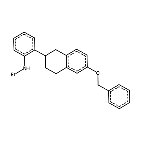 CCNc1ccccc1C1CCc2cc(OCc3ccccc3)ccc2C1